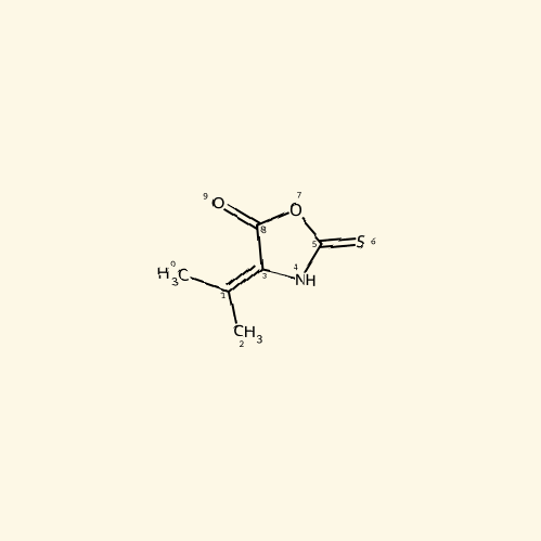 CC(C)=C1NC(=S)OC1=O